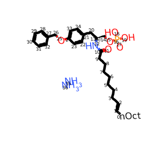 CCCCCCCCC=CCCCCCCCC(=O)N[C@H](COP(=O)(O)O)Cc1ccc(OCc2ccccc2)cc1.N.N